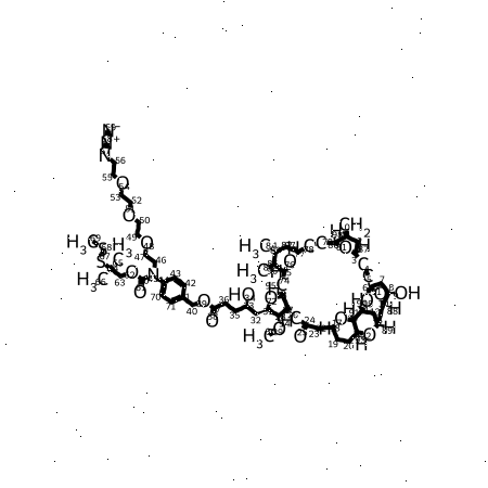 C=C1C[C@@H]2CC[C@]34C[C@@H](O)[C@H](O3)[C@H]3C[C@@H](O4)[C@H]4O[C@H](CC[C@@H]4O3)CC(=O)C[C@@H]3[C@@H](OC)[C@@H](C[C@H](O)CCC(=O)OCc4ccc(N(CCOCCOCCOCCN=[N+]=[N-])C(=O)OCC(C)(C)SSC)cc4)O[C@H]3C[C@H]3O[C@@H](CC[C@@H]1O2)C[C@@H](C)C3C